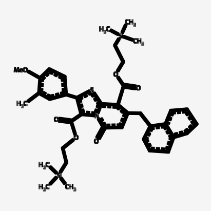 COc1ccc(-c2sc3c(C(=O)OCC[Si](C)(C)C)c(Cc4cccc5ccccc45)cc(=O)n3c2C(=O)OCC[Si](C)(C)C)cc1C